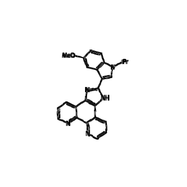 COc1ccc2c(c1)c(-c1nc3c4cccnc4c4ncccc4c3[nH]1)cn2C(C)C